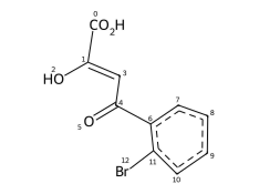 O=C(O)/C(O)=C/C(=O)c1ccccc1Br